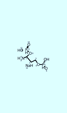 NC(CCO[PH](=O)O)O[PH](=O)O.[NaH]